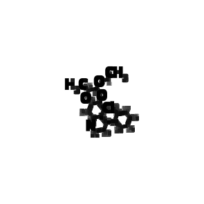 CCOC(=O)[C@@H](C)Oc1ccc2c(-c3ccccc3Cl)ccnc2c1